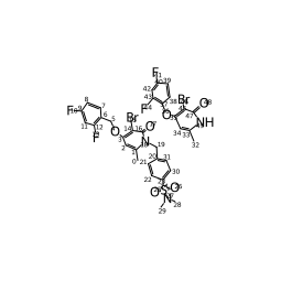 Cc1cc(OCc2ccc(F)cc2F)c(Br)c(=O)n1Cc1ccc(S(=O)(=O)N(C)C)cc1.Cc1cc(Oc2ccc(F)cc2F)c(Br)c(=O)[nH]1